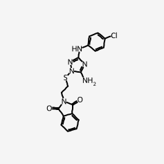 Nc1nc(Nc2ccc(Cl)cc2)nn1SCCN1C(=O)c2ccccc2C1=O